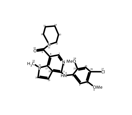 COc1cc(Nc2ncc(C(=O)N3CCCCC3)c3c2ccn3C)c(OC)cc1Cl